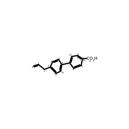 C=CCc1ccc(-c2ccc(C(=O)O)cc2)cc1